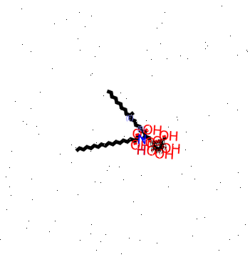 CCCCCCCCCCCCCCCCC(O)C(=O)NC(CO[C@@H]1O[C@H](CO)[C@@H](O)[C@H](O)[C@H]1O)C(O)/C=C/CC/C=C(\C)CCCCCCCCC